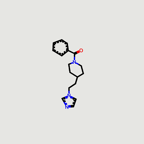 O=C(c1ccccc1)N1CCC(CCn2ccnc2)CC1